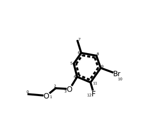 COCOc1cc(C)cc(Br)c1F